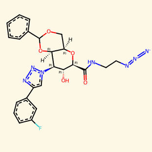 [N-]=[N+]=NCCNC(=O)[C@@H]1O[C@@H]2COC(c3ccccc3)O[C@@H]2[C@H](n2cc(-c3cccc(F)c3)nn2)[C@H]1O